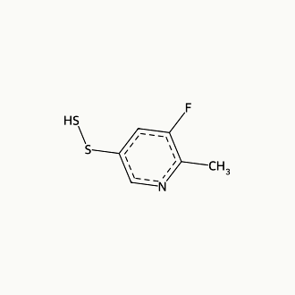 Cc1ncc(SS)cc1F